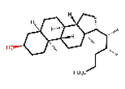 C[C@H]([C@H](C)CCC(=O)O)[C@H]1CC[C@H]2[C@@H]3CC[C@@H]4C[C@H](O)CC[C@]4(C)[C@H]3CC[C@]12C